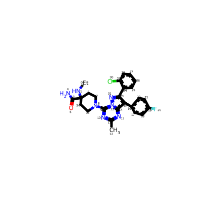 CCNC1(C(N)=O)CCN(c2nc(C)nc3c(-c4ccc(F)cc4)c(-c4ccccc4Cl)nn23)CC1